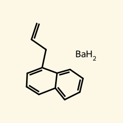 C=CCc1cccc2ccccc12.[BaH2]